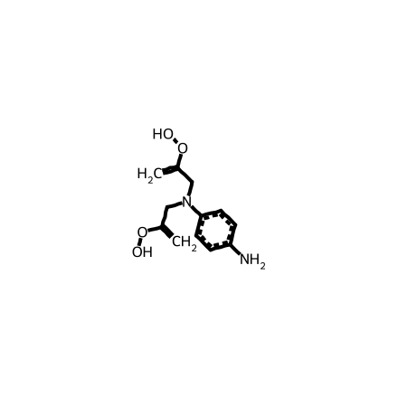 C=C(CN(CC(=C)OO)c1ccc(N)cc1)OO